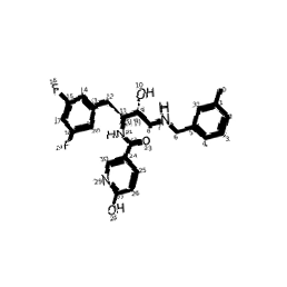 Cc1cccc(CNC[C@@H](O)[C@H](Cc2cc(F)cc(F)c2)NC(=O)c2ccc(O)nc2)c1